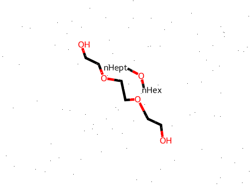 CCCCCCCOCCCCCC.OCCOCCOCCO